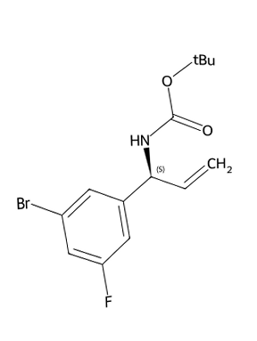 C=C[C@H](NC(=O)OC(C)(C)C)c1cc(F)cc(Br)c1